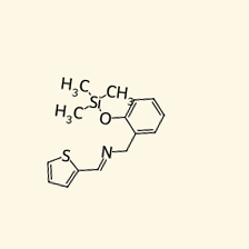 C[Si](C)(C)Oc1ccccc1CN=Cc1cccs1